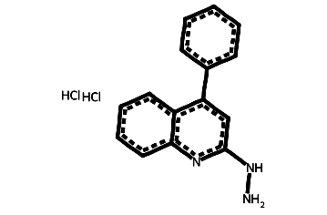 Cl.Cl.NNc1cc(-c2ccccc2)c2ccccc2n1